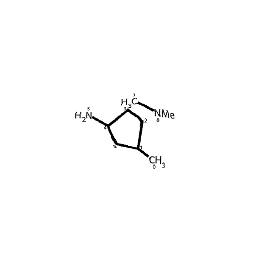 CC1CCC(N)C1.CNC